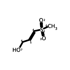 CS(=O)(=O)C=CCO